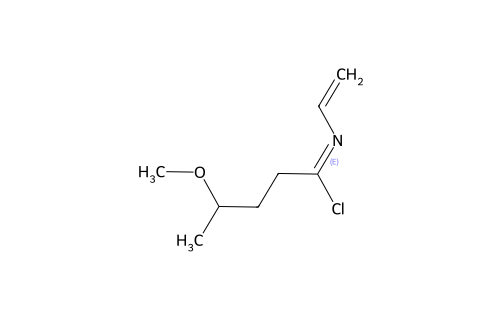 C=C/N=C(/Cl)CCC(C)OC